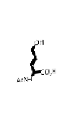 CC(=O)NC(/C=C/CO)C(=O)O